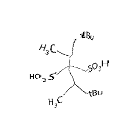 CC(C(C)(C)C)C(C(C)C(C)(C)C)(S(=O)(=O)O)S(=O)(=O)O